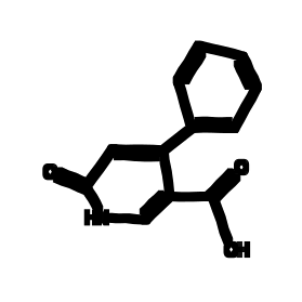 O=C(O)c1c[nH]c(=O)cc1-c1ccccc1